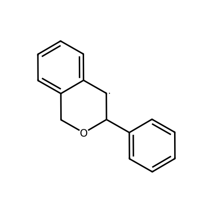 [CH]1c2ccccc2COC1c1ccccc1